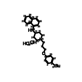 CC(C)(C)c1ccc(OCCCN2CCC(Nc3cccc4ccccc34)CC2)cc1.Cl.Cl